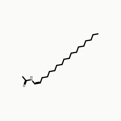 CCCCCCCCCCCCCCCC/C=[C]\NC(C)=O